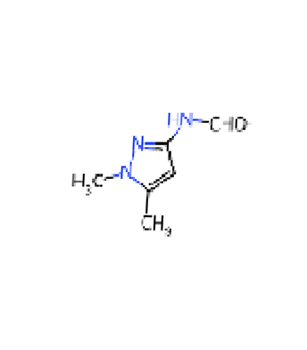 Cc1cc(N[C]=O)nn1C